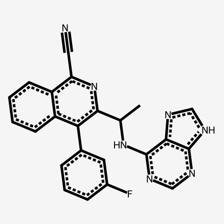 CC(Nc1ncnc2[nH]cnc12)c1nc(C#N)c2ccccc2c1-c1cccc(F)c1